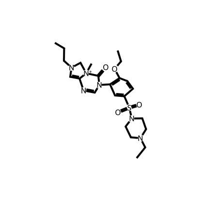 CCCN1C=C2N=CN(c3cc(S(=O)(=O)N4CCN(CC)CC4)ccc3OCC)C(=O)[N+]2(C)C1